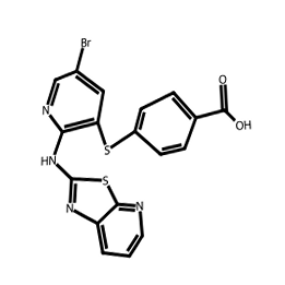 O=C(O)c1ccc(Sc2cc(Br)cnc2Nc2nc3cccnc3s2)cc1